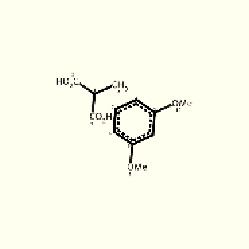 CC(C(=O)O)C(=O)O.COc1cccc(OC)c1